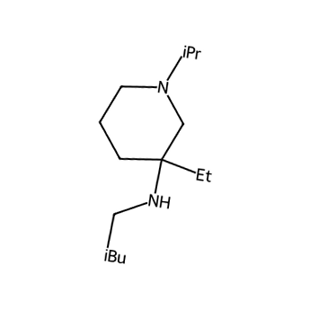 CCC(C)CNC1(CC)CCCN(C(C)C)C1